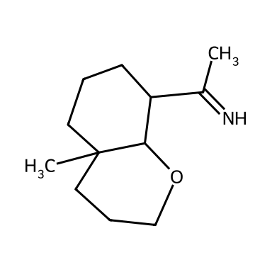 CC(=N)C1CCCC2(C)CCCOC12